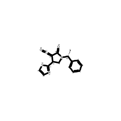 C[C@H](c1ccccc1)N1CC(c2nccs2)C(=C=O)C1=O